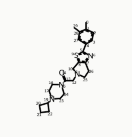 Cc1ccc(-c2nc3c(s2)CN(CC(=O)N2CCN(C4CCC4)CC2)CC3)cc1C